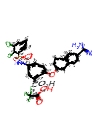 N=C(N)c1ccc2cc(Oc3ccc(NS(=O)(=O)c4cccc(Cl)c4Cl)cc3C(=O)O)ccc2c1.O=C(O)C(F)(F)F